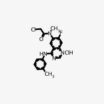 Cc1cccc(Nc2ncnc3cc(F)c(N(C)C(=O)CCl)cc23)c1.Cl